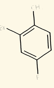 Cc1ccc(F)[c]c1Br